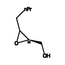 CCCCC1O[C@@H]1CO